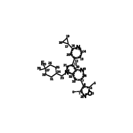 Cc1noc(C)c1-c1cnc2c(-c3ccnc(C4CC4)c3)cn(CC3CCC(C)(F)CC3)c2c1